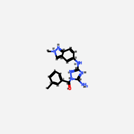 Cc1cccc(C(=O)n2nc(Nc3ccc4nn(C)cc4c3)nc2N)c1